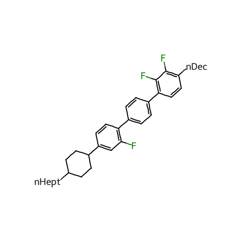 CCCCCCCCCCc1ccc(-c2ccc(-c3ccc(C4CCC(CCCCCCC)CC4)cc3F)cc2)c(F)c1F